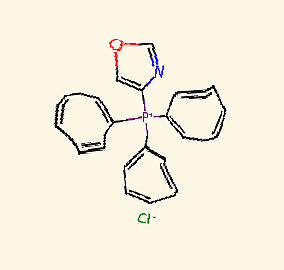 [Cl-].c1ccc([P+](c2ccccc2)(c2ccccc2)c2cocn2)cc1